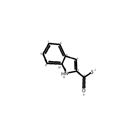 O=C([S])c1cc2ccccc2[nH]1